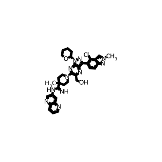 Cn1cc2c(Cl)c(-c3nn(C4CCCCO4)c4nc(N5CCC(C)(C(=N)Nc6cnc7cccnc7c6)CC5)c(CO)nc34)ccc2n1